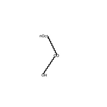 CCCCCCCCC=CCCCCCCCCCCCCCC(=O)OCCCCCCCCCCCCCCCCO